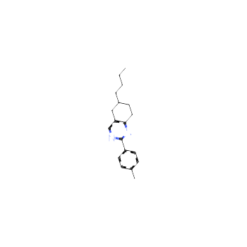 CCCCC1CCc2nc(-c3ccc(C)cc3)ncc2C1